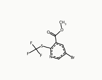 COC(=O)c1cc(Br)cnc1SC(F)(F)F